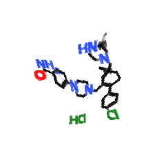 C[C@@H]1CN(C[C@]2(C)CCC(c3ccc(Cl)cc3)=C(CN3CCN(c4ccc(C(N)=O)cc4)CC3)C2)CCN1.Cl